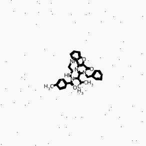 Cc1ccc(C(=O)N(NCCN)C(c2nc3c(oc4ccccc43)c(=O)n2Cc2ccccc2)C(C)C)cc1